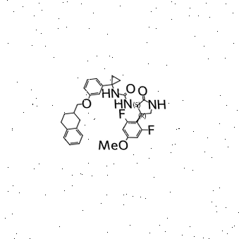 COc1cc(F)c([C@@H]2CNC(=O)[C@H]2NC(=O)NC2(c3cccc(OCC4CCc5ccccc5C4)c3)CC2)c(F)c1